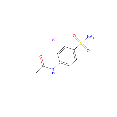 CC(=O)Nc1ccc(S(N)(=O)=O)cc1.I